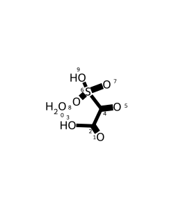 O.O=C(O)C(=O)S(=O)(=O)O